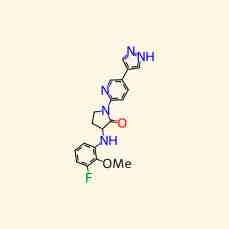 COc1c(F)cccc1NC1CCN(c2ccc(-c3cn[nH]c3)cn2)C1=O